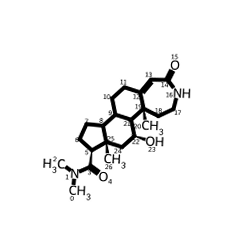 CN(C)C(=O)[C@H]1CCC2C3CCC4=CC(=O)NCC[C@]4(C)C3[C@@H](O)C[C@@]21C